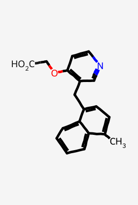 Cc1ccc(Cc2cnccc2OCC(=O)O)c2ccccc12